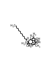 CCCCCCCCCCCC(=O)O[C@@]12C[C@@H](C)[C@]34C=C(C)[C@H](O)[C@@]3(O)[C@H](O)C(C)=C[C@H](C4O)[C@@H]1C2(C)C